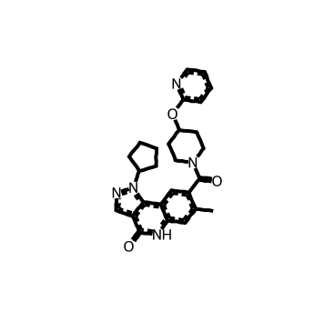 Cc1cc2[nH]c(=O)c3cnn(C4CCCC4)c3c2cc1C(=O)N1CCC(Oc2ccccn2)CC1